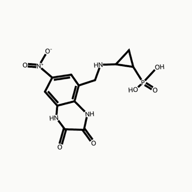 O=c1[nH]c2cc([N+](=O)[O-])cc(CNC3CC3P(=O)(O)O)c2[nH]c1=O